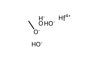 C[O-].[Hf+4].[OH-].[OH-].[OH-]